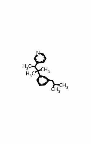 CC(C)Cc1cccc(C(C)(C)C(C)c2cccnc2)c1